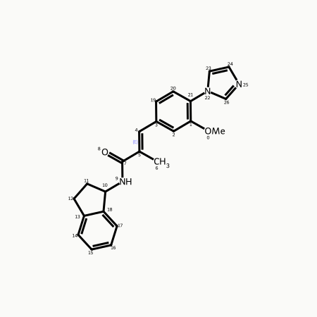 COc1cc(/C=C(\C)C(=O)NC2CCc3ccccc32)ccc1-n1ccnc1